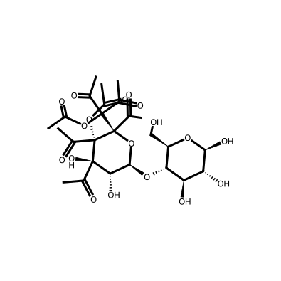 CC(=O)OC(C(C)=O)(C(C)=O)[C@@]1(C(C)=O)O[C@@H](O[C@H]2[C@H](O)[C@@H](O)[C@H](O)O[C@@H]2CO)[C@H](O)[C@](O)(C(C)=O)[C@@]1(OC(C)=O)C(C)=O